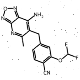 Cc1nc2nonc2c(N)c1Cc1ccc(C#N)c(OC(F)F)c1